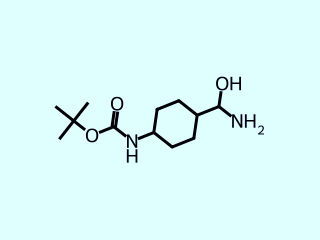 CC(C)(C)OC(=O)NC1CCC(C(N)O)CC1